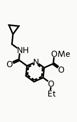 CCOc1ccc(C(=O)NCC2CC2)nc1C(=O)OC